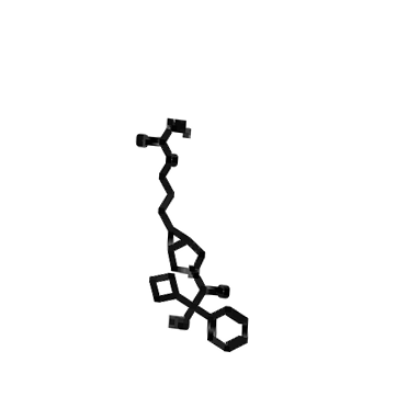 NC(=O)OCCCC1C2CN(C(=O)C(O)(c3ccccc3)C3CCC3)CC12